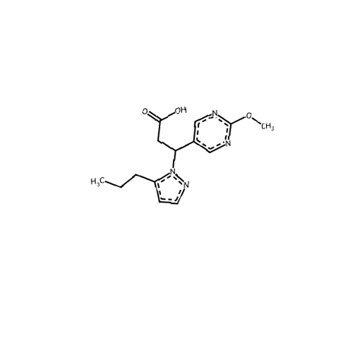 CCCc1ccnn1C(CC(=O)O)c1cnc(OC)nc1